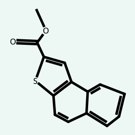 COC(=O)c1cc2c(ccc3ccccc32)s1